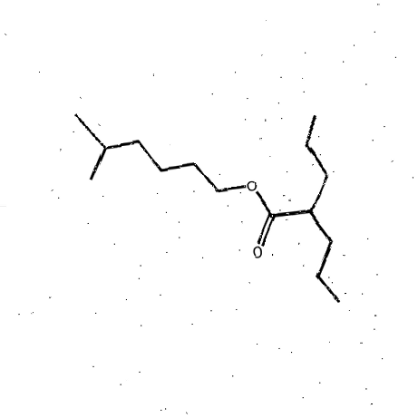 CCCC(CCC)C(=O)OCCCCC(C)C